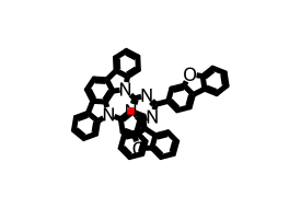 c1ccc(-c2nc(-c3ccc4c(c3)oc3ccccc34)nc(-n3c4ccccc4c4ccc5c6ccccc6n(-c6ccc7c(c6)oc6ccccc67)c5c43)n2)cc1